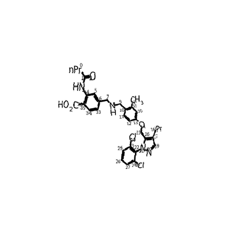 CCCC(=O)Nc1cc(CNCc2ccc(OCc3c(C(C)C)cnn3-c3c(Cl)cccc3Cl)cc2C)ccc1C(=O)O